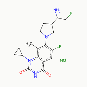 Cc1c(N2CCC(C(N)CF)C2)c(F)cc2c(=O)[nH]c(=O)n(C3CC3)c12.Cl